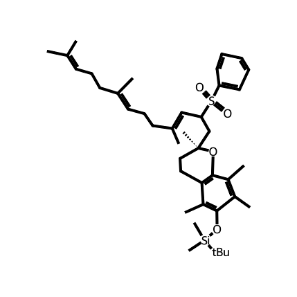 CC(C)=CCC/C(C)=C/CC/C(C)=C/C(C[C@]1(C)CCc2c(C)c(O[Si](C)(C)C(C)(C)C)c(C)c(C)c2O1)S(=O)(=O)c1ccccc1